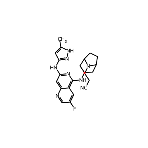 Cc1cc(Nc2cc3ncc(F)cc3c(NC3CC4CCC(C3)N4CCC#N)n2)n[nH]1